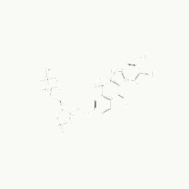 CC1(C)OC(COc2ccc3c(c2)C(C)(C)c2[nH]c4cc(Cl)c(Cl)cc4c2C3=O)[C@H](CO[Si](C)(C)C(C)(C)C)O1